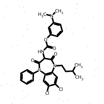 CC(C)CCN1C(=O)C(NC(=O)Oc2cccc(N(C)C)c2)C(=O)N(c2ccccc2)c2cc(Cl)c(Cl)cc21